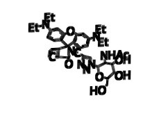 CCN(CC)c1ccc2c(c1)Oc1cc(N(CC)CC)ccc1C21c2ccccc2C(=O)N1Cc1cn(C2OC(CO)C(O)C(O)C2NC(C)=O)nn1